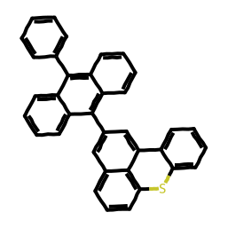 c1ccc(-c2c3ccccc3c(-c3cc4c5c(cccc5c3)Sc3ccccc3-4)c3ccccc23)cc1